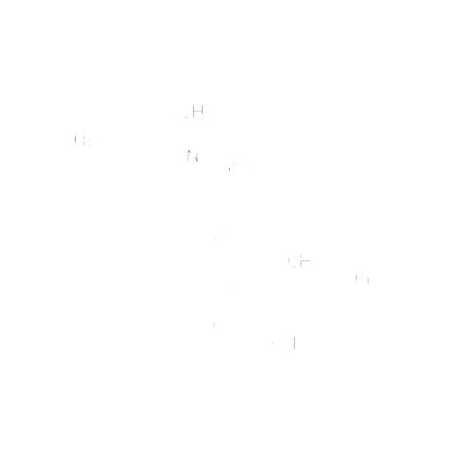 CCC(C)(C)C(=O)OCC(CO)N(C)C